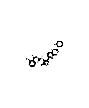 Cc1nc(-c2snc(C)c2NC(=O)O[C@H](C)c2ccccc2Cl)ccc1NC(=O)[C@H]1CCCC[C@@H]1C(=O)O